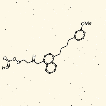 COc1cccc(CCCCc2ccc(CNCCOO[PH](=O)O)c3ccccc23)c1